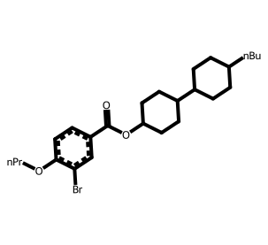 CCCCC1CCC(C2CCC(OC(=O)c3ccc(OCCC)c(Br)c3)CC2)CC1